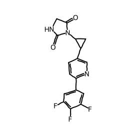 O=C1CNC(=O)N1C1CC1c1ccc(-c2cc(F)c(F)c(F)c2)nc1